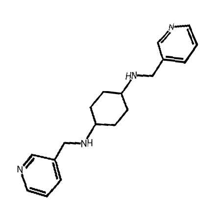 c1cncc(CNC2CCC(NCc3cccnc3)CC2)c1